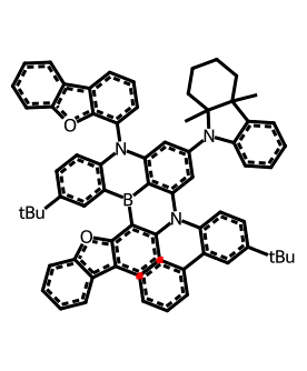 CC(C)(C)c1ccc2c(c1)B1c3c(cc(N4c5ccccc5C5(C)CCCCC45C)cc3N2c2cccc3c2oc2ccccc23)N(c2ccc(C(C)(C)C)cc2-c2ccccc2)c2ccc3c(oc4ccccc43)c21